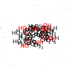 Cc1cc(C(c2cc(C)c(O)cc2C)c2cc(C3(c4cc(C)c(OCC(=O)O)c(C(c5cc(C)c(O)cc5C)c5cc(C)c(O)cc5C)c4)CCC(C4CCC(c5cc(C)c(OCC(=O)O)c(C(c6cc(C)c(O)cc6C)c6cc(C)c(O)cc6C)c5)(c5cc(C)c(OC(=O)O)c(C(c6cc(C)c(O)cc6C)c6cc(C)c(O)cc6C)c5)CC4)CC3)cc(C)c2OCC(=O)O)c(C)cc1O